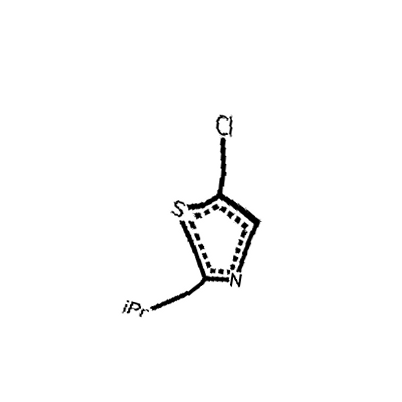 CC(C)c1ncc(Cl)s1